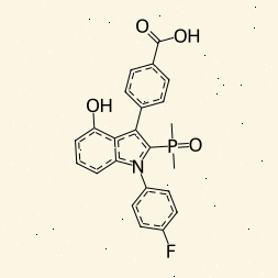 CP(C)(=O)c1c(-c2ccc(C(=O)O)cc2)c2c(O)cccc2n1-c1ccc(F)cc1